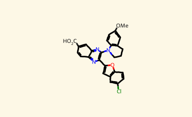 COc1ccc2c(c1)CCCN2c1nc2cc(C(=O)O)ccc2nc1-c1cc2cc(Cl)ccc2o1